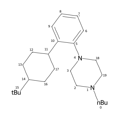 CCCCN1CCN(c2c[c]ccc2C2CCC(C(C)(C)C)CC2)CC1